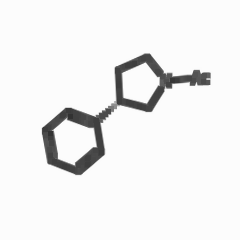 CC(=O)N1CC[C@@H](c2ccccc2)C1